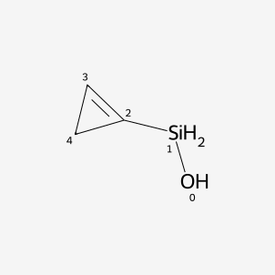 O[SiH2]C1=CC1